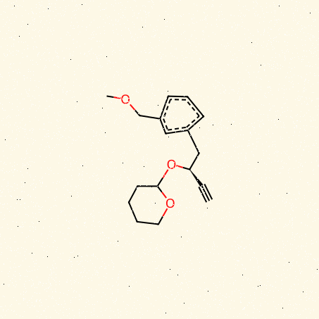 C#C[C@H](Cc1cccc(COC)c1)OC1CCCCO1